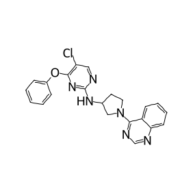 Clc1cnc(NC2CCN(c3ncnc4ccccc34)C2)nc1Oc1ccccc1